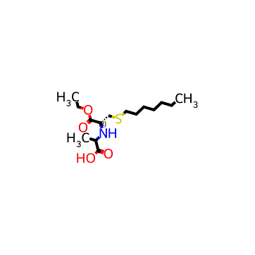 CCCCCCCSC[C@H](NC(C)C(=O)O)C(=O)OCC